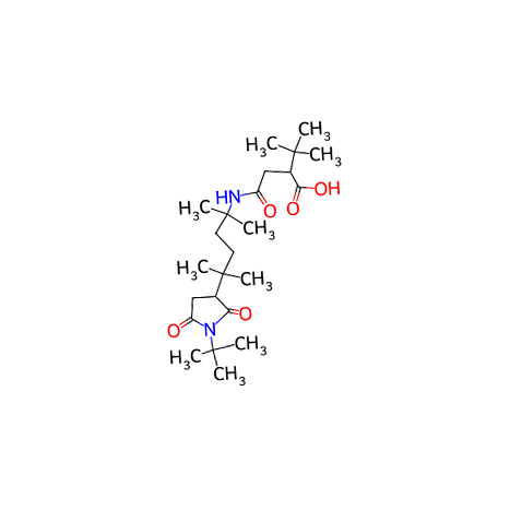 CC(C)(CCC(C)(C)C1CC(=O)N(C(C)(C)C)C1=O)NC(=O)CC(C(=O)O)C(C)(C)C